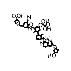 Cc1c(Nc2nccc3cc(CN4CC[C@@H](O)C4)cnc23)cccc1-c1cccc(-c2nc3cc(CN4CC[C@@H](C(=O)O)C4)cc(C#N)c3o2)c1C.O=C(O)C(=O)O